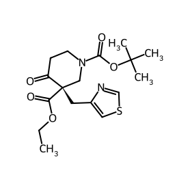 CCOC(=O)[C@@]1(Cc2cscn2)CN(C(=O)OC(C)(C)C)CCC1=O